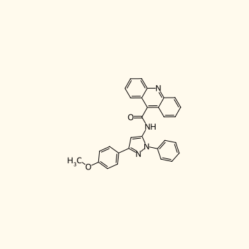 COc1ccc(-c2cc(NC(=O)c3c4ccccc4nc4ccccc34)n(-c3ccccc3)n2)cc1